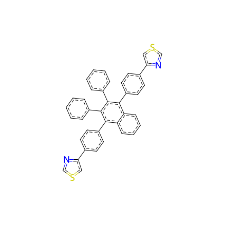 c1ccc(-c2c(-c3ccccc3)c(-c3ccc(-c4cscn4)cc3)c3ccccc3c2-c2ccc(-c3cscn3)cc2)cc1